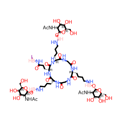 CC(=O)N[C@H]1[C@H](OBNCCCC[C@H]2NC(=O)CNC(=O)[C@@H](CCCCNBO[C@@H]3O[C@H](CO)[C@H](O)[C@H](O)[C@H]3NC(C)=O)NC(=O)[C@@H](CCC(=O)NBI)NC(=O)[C@@H](CCCCNBO[C@@H]3O[C@H](CO)[C@H](O)[C@H](O)[C@H]3NC(C)=O)NC(=O)CNC2=O)O[C@H](CO)[C@H](O)[C@@H]1O